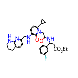 CCOC(=O)CC(NC(=O)Cn1c(C2CC2)ccc(NCc2ccc3c(n2)NCCC3)c1=O)c1cccc(F)c1